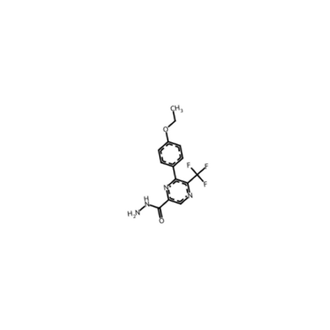 CCOc1ccc(-c2nc(C(=O)NN)cnc2C(F)(F)F)cc1